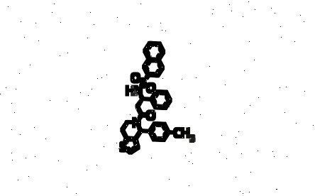 Cc1ccc(C2c3ccsc3CCN2C(=O)C[C@@H](NS(=O)(=O)c2ccc3ccccc3c2)c2ccccc2)cc1